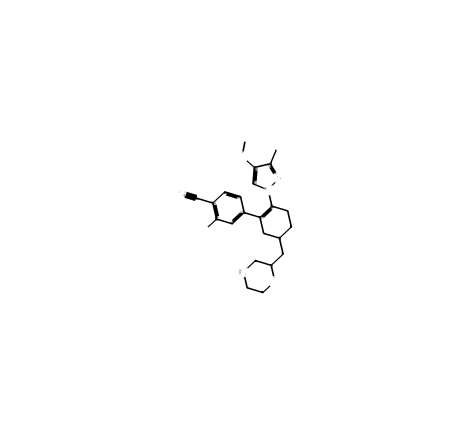 COc1cn(C2=C(c3ccc(C#N)c(F)c3)CC(CC3CNCCO3)CC2)nc1C